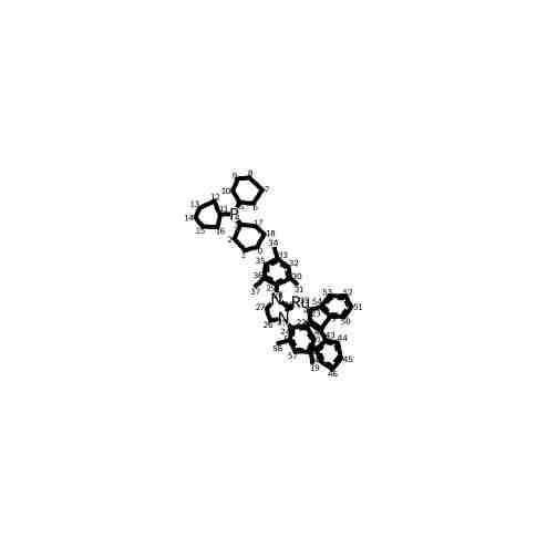 C1CCC(P(C2CCCCC2)C2CCCCC2)CC1.Cc1cc(C)c(N2CCN(c3c(C)cc(C)cc3C)[C]2=[Ru]=[C]2C=C(c3ccccc3)c3ccccc32)c(C)c1